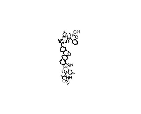 COC(=O)N[C@H](C(=O)N1C[C@@H](C)C[C@H]1c1nc2ccc3cc4c(cc3c2[nH]1)OCc1cc(-c2cnc([C@@H]3C[C@H](C)CN3C(=O)[C@@H](c3ccccc3)N(C)C(=O)O)[nH]2)ccc1-4)C(C)C